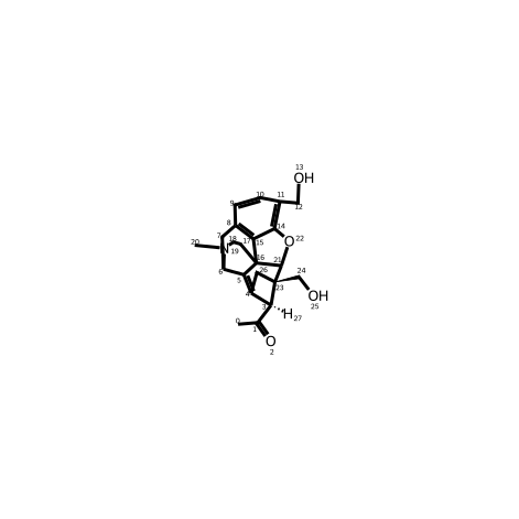 CC(=O)[C@H]1C2=C3C4Cc5ccc(CO)c6c5C3(CCN4C)C(O6)[C@@]1(CO)C2